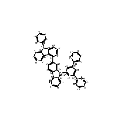 c1ccc(-n2c3ccccc3c3c(-c4ccc5c6ncccc6n(-c6cc(-c7ccccn7)cc(-c7ccccn7)c6)c5c4)cccc32)cc1